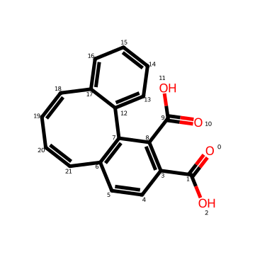 O=C(O)c1ccc2c(c1C(=O)O)-c1ccccc1C=CC=C2